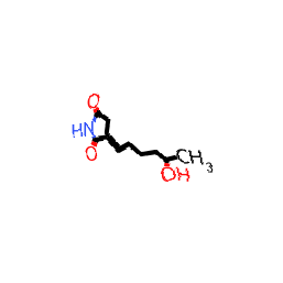 CC(O)CCC/C=C1\CC(=O)NC1=O